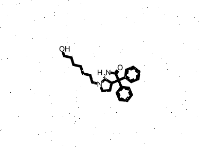 NC(=O)C(c1ccccc1)(c1ccccc1)C1CCN(CCCCCCCO)C1